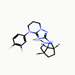 O=C(O)N1C[C@H]2CC[C@@H](C1)[C@H]2Nc1nc2n(n1)CCCN2c1ccc(F)c(F)c1